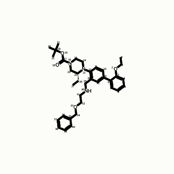 CCOc1ccccc1-c1ccc(N2CCN(C(=O)OC(C)(C)C)C[C@H]2CC)c(CNCCOCc2ccccc2)c1